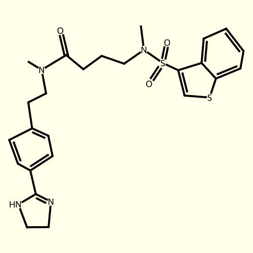 CN(CCc1ccc(C2=NCCN2)cc1)C(=O)CCCN(C)S(=O)(=O)c1csc2ccccc12